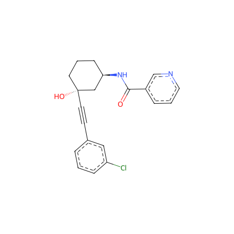 O=C(N[C@@H]1CCC[C@](O)(C#Cc2cccc(Cl)c2)C1)c1cccnc1